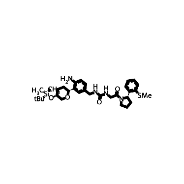 CSc1ccccc1[C@@H]1CCCN1C(=O)CNC(=O)NCc1ccc(N)c([C@H]2CC[C@H](O[Si](C)(C)C(C)(C)C)CO2)c1